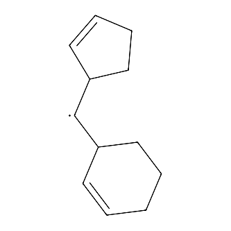 [CH](C1C=CCC1)C1C=CCCC1